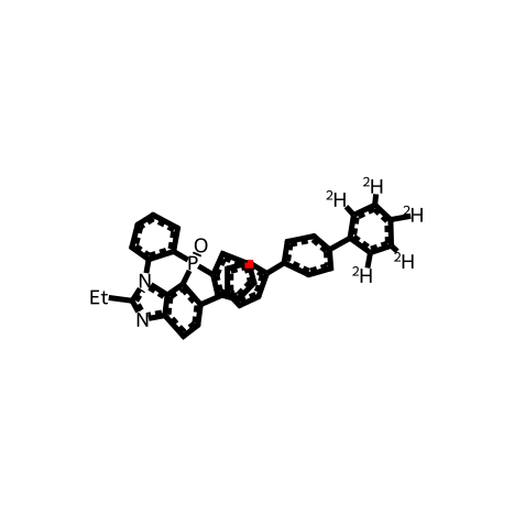 [2H]c1c([2H])c([2H])c(-c2ccc(-c3ccc(-c4ccc5nc(CC)n6c5c4P(=O)(c4ccccc4)c4ccccc4-6)cc3)cc2)c([2H])c1[2H]